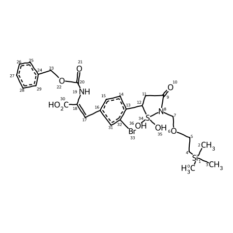 C[Si](C)(C)CCOCN1C(=O)CC(c2ccc(C=C(NC(=O)OCc3ccccc3)C(=O)O)cc2Br)S1(O)O